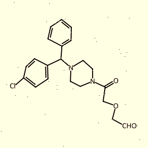 O=[C]COCC(=O)N1CCN(C(c2ccccc2)c2ccc(Cl)cc2)CC1